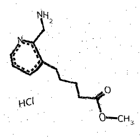 COC(=O)CCCCc1cccnc1CN.Cl